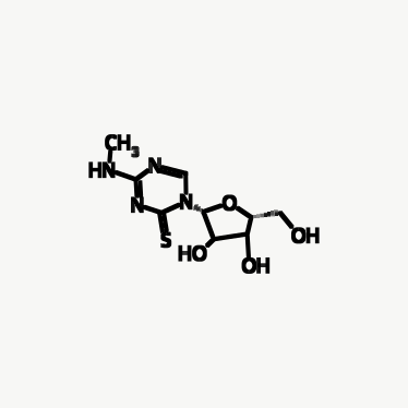 CNc1ncn([C@@H]2O[C@H](CO)C(O)C2O)c(=S)n1